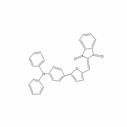 O=C1C(=Cc2ccc(-c3ccc(N(c4ccccc4)c4ccccc4)cc3)o2)C(=O)c2ccccc21